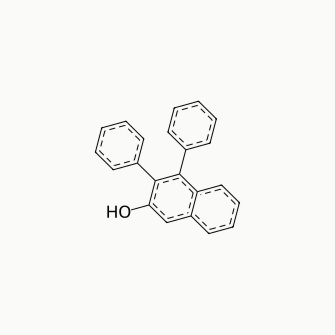 Oc1cc2ccccc2c(-c2ccccc2)c1-c1ccccc1